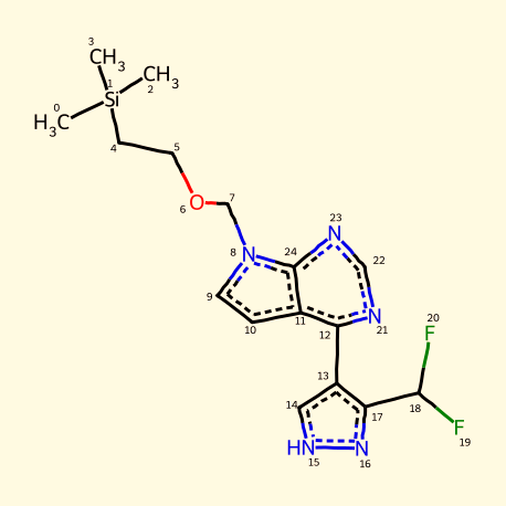 C[Si](C)(C)CCOCn1ccc2c(-c3c[nH]nc3C(F)F)ncnc21